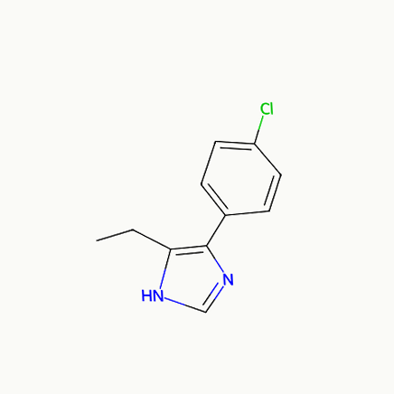 CCc1[nH]cnc1-c1ccc(Cl)cc1